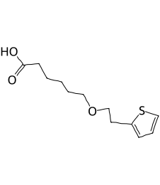 O=C(O)CCCCCOCCc1cccs1